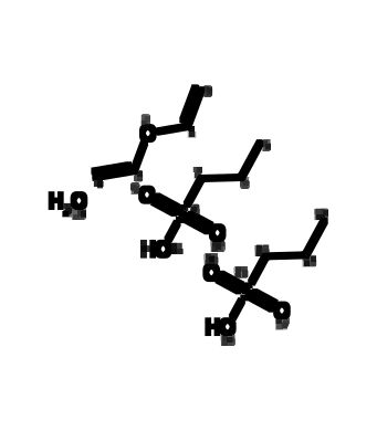 C=COC=C.CCCS(=O)(=O)O.CCCS(=O)(=O)O.O